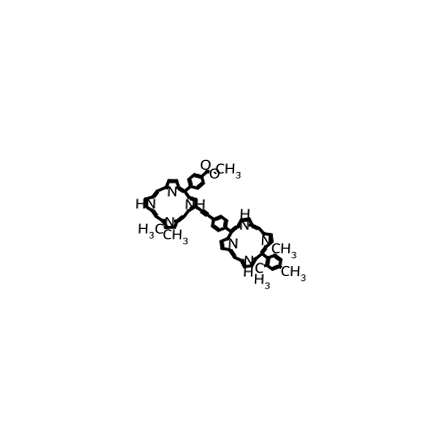 COC(=O)c1ccc(-c2c3nc(cc4ccc(cc5nc(cc6[nH]c2cc6C#Cc2ccc(-c6c7nc(cc8ccc([nH]8)c(-c8c(C)cc(C)cc8C)c8nc(cc9ccc6[nH]9)C=C8)C=C7)cc2)CC5(C)C)[nH]4)C=C3)cc1